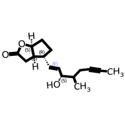 CC#CCC(C)[C@H](O)/C=C/[C@H]1CC[C@@H]2OC(=O)C[C@@H]21